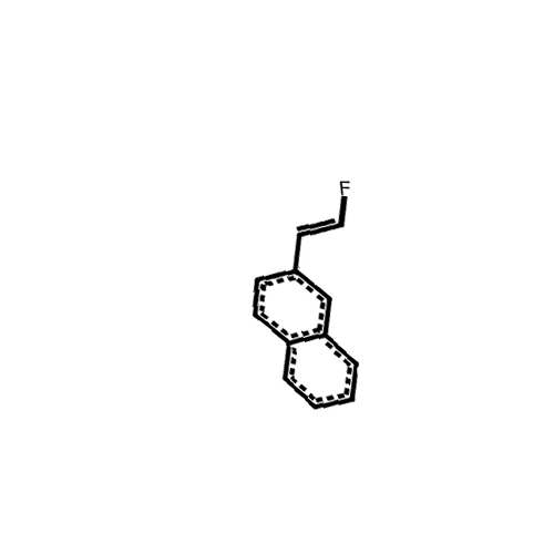 FC=Cc1ccc2ccccc2c1